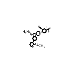 CCOc1ncccc1-c1ccc2c(c1)N(CCN)CC21CCN(c2ccc(C(F)(F)F)cc2C#N)CC1